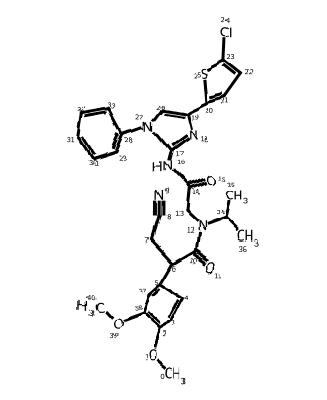 COc1ccc(C(CC#N)C(=O)N(CC(=O)Nc2nc(-c3ccc(Cl)s3)cn2-c2ccccc2)C(C)C)cc1OC